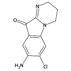 Nc1cc2c(cc1Cl)N1CCCN=C1C2=O